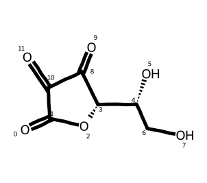 O=C1O[C@@H]([C@H](O)CO)C(=O)C1=O